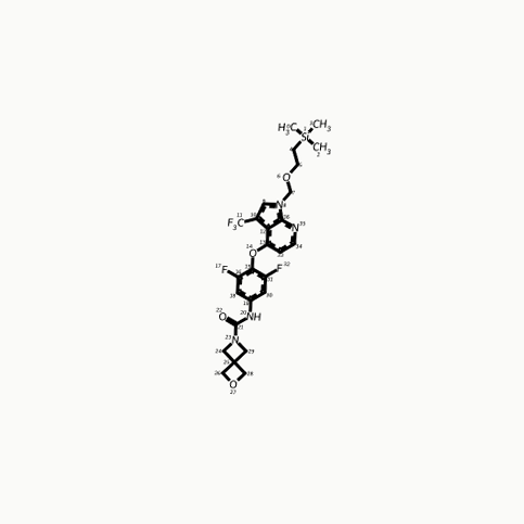 C[Si](C)(C)CCOCn1cc(C(F)(F)F)c2c(Oc3c(F)cc(NC(=O)N4CC5(COC5)C4)cc3F)ccnc21